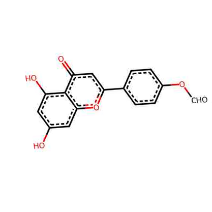 O=COc1ccc(-c2cc(=O)c3c(O)cc(O)cc3o2)cc1